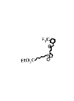 CCOC(=O)CCCCCCN1C(=O)CC[C@@H]1C=CC(=O)Cc1cccc(C(F)(F)F)c1